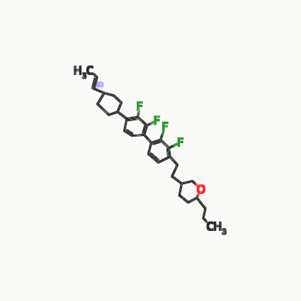 C/C=C/C1CCC(c2ccc(-c3ccc(CCC4CCC(CCC)OC4)c(F)c3F)c(F)c2F)CC1